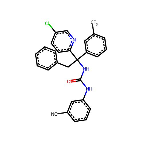 N#Cc1cccc(NC(=O)NC(Cc2ccccc2)(c2cccc(C(F)(F)F)c2)c2ccc(Cl)cn2)c1